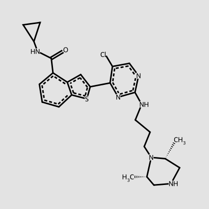 C[C@@H]1CNC[C@H](C)N1CCCNc1ncc(Cl)c(-c2cc3c(C(=O)NC4CC4)cccc3s2)n1